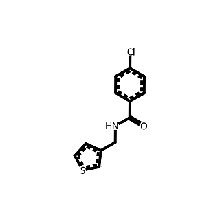 O=C(NCc1[c]scc1)c1ccc(Cl)cc1